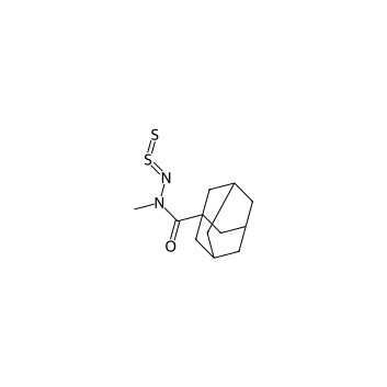 CN(N=S=S)C(=O)C12CC3CC(CC(C3)C1)C2